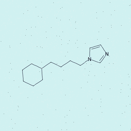 c1cn(CCCCC2CCCCC2)cn1